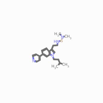 CC(C)CCn1cc(CCNSN(C)C)c2ccc(-c3ccncc3)cc21